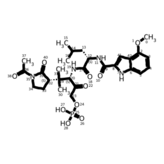 COc1cccc2[nH]c(C(=O)N[C@@H](CC(C)C)C(=O)N[C@H](C(=O)COP(=O)(O)O)C(C)(C)[C@@H]3CCN(C(C)=O)C3=O)cc12